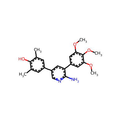 COc1cc(-c2cc(-c3cc(C)c(O)c(C)c3)cnc2N)cc(OC)c1OC